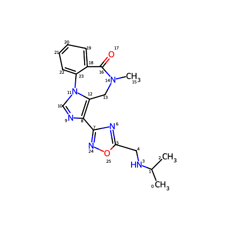 CC(C)NCc1nc(-c2ncn3c2CN(C)C(=O)c2ccccc2-3)no1